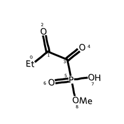 CCC(=O)C(=O)P(=O)(O)OC